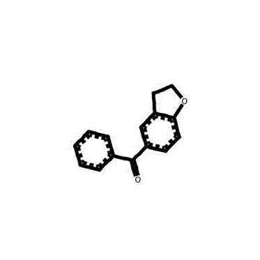 O=C(c1ccccc1)c1ccc2c(c1)CCO2